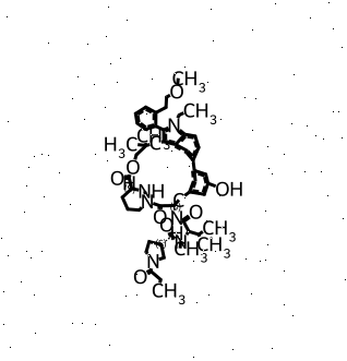 CCC(=O)N1CC[C@H](C(=O)N(C)C(C(=O)N[C@H]2Cc3cc(O)cc(c3)-c3ccc4c(c3)c(c(-c3ccccc3CCOC)n4CC)CC(C)(C)COC(=O)[C@@H]3CCCN(N3)C2=O)C(C)C)C1